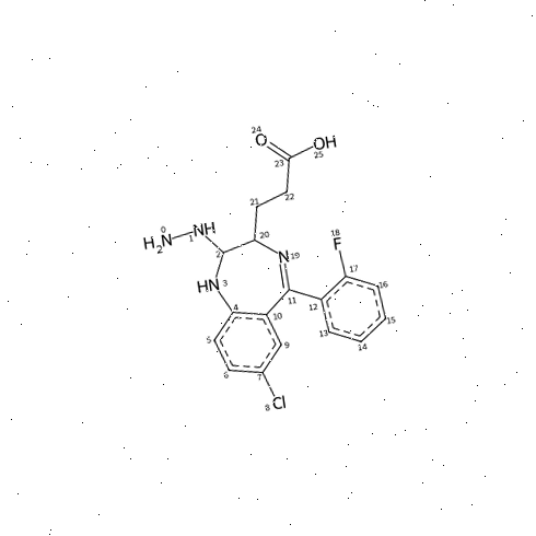 NNC1Nc2ccc(Cl)cc2C(c2ccccc2F)=NC1CCC(=O)O